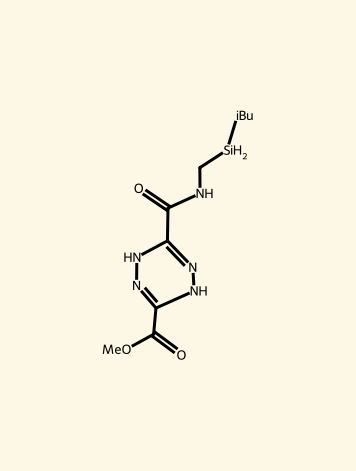 CCC(C)[SiH2]CNC(=O)C1=NNC(C(=O)OC)=NN1